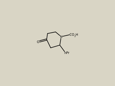 CCCC1CC(=O)CCN1C(=O)O